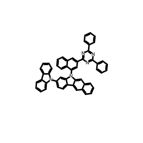 c1ccc(-c2nc(-c3ccccc3)nc(-c3cc(-n4c5cc(-n6c7ccccc7c7ccccc76)ccc5c5cc6ccccc6cc54)c4ccccc4c3)n2)cc1